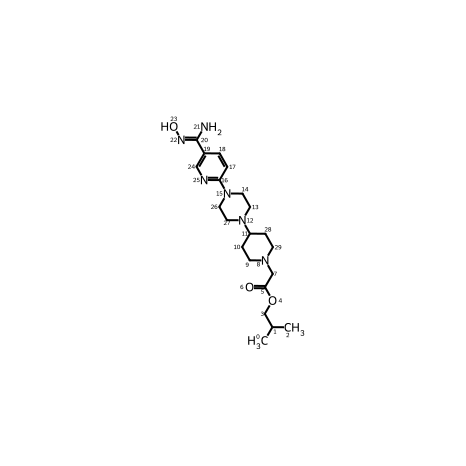 CC(C)COC(=O)CN1CCC(N2CCN(c3ccc(C(N)=NO)cn3)CC2)CC1